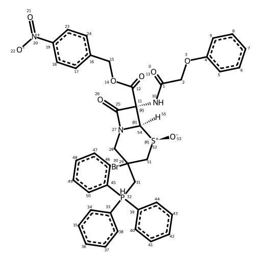 O=C(COc1ccccc1)N[C@@]1(C(=O)OCc2ccc([N+](=O)[O-])cc2)C(=O)N2CC(Br)(C[PH](c3ccccc3)(c3ccccc3)c3ccccc3)C[S@+]([O-])[C@@H]21